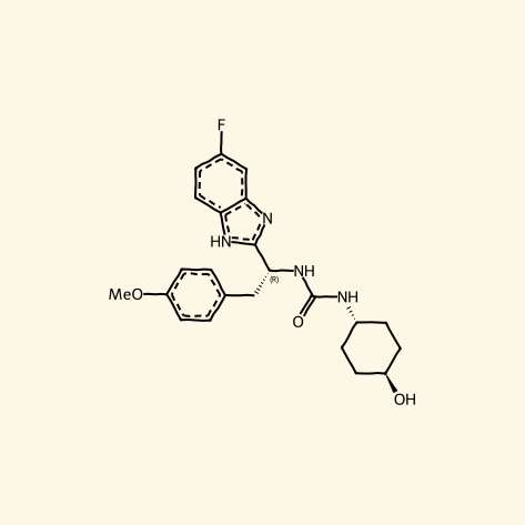 COc1ccc(C[C@@H](NC(=O)N[C@H]2CC[C@H](O)CC2)c2nc3cc(F)ccc3[nH]2)cc1